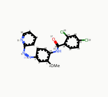 COc1cc(/N=N\c2ccccn2)ccc1NC(=O)c1ccc(Cl)cc1Cl